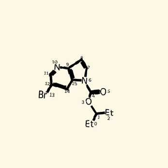 CCC(CC)OC(=O)n1ccc2ncc(Br)cc21